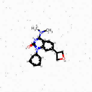 CN(C)c1nc(=O)n(-c2ccccc2)c2cc(C3COC3)ccc12